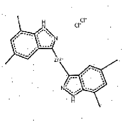 Cc1cc(C)c2[nH]n[c]([Zr+2][c]3n[nH]c4c(C)cc(C)cc34)c2c1.[Cl-].[Cl-]